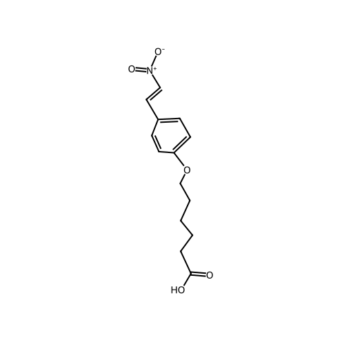 O=C(O)CCCCCOc1ccc(C=C[N+](=O)[O-])cc1